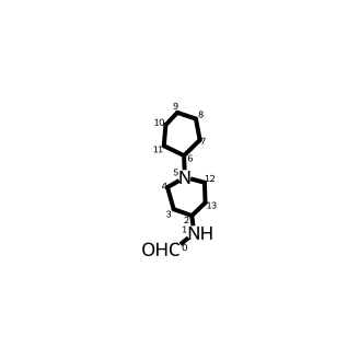 O=CNC1CCN(C2CCCCC2)CC1